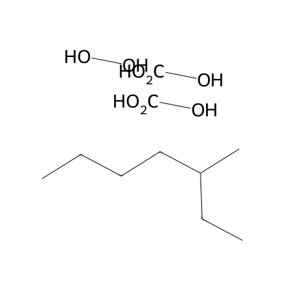 CCCCC(C)CC.O=C(O)O.O=C(O)O.OO